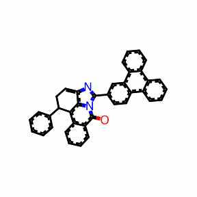 O=c1c2ccccc2c2c3c(nc(-c4ccc5c6ccccc6c6ccccc6c5c4)n13)=CCC2c1ccccc1